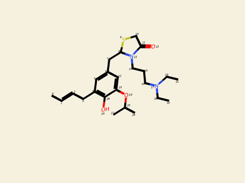 CC=CCc1cc(CC2SCC(=O)N2CCCN(CC)CC)cc(OC(C)C)c1O